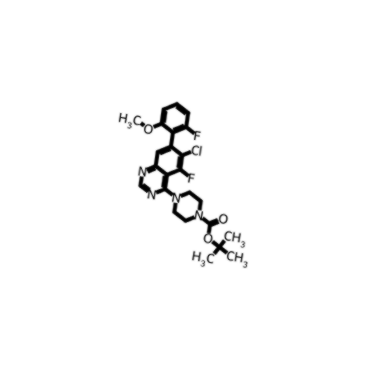 COc1cccc(F)c1-c1cc2ncnc(N3CCN(C(=O)OC(C)(C)C)CC3)c2c(F)c1Cl